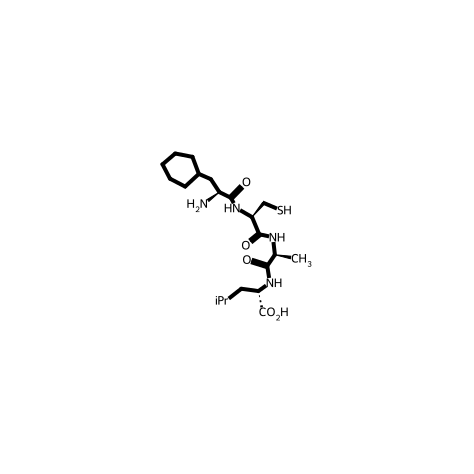 CC(C)C[C@H](NC(=O)[C@H](C)NC(=O)[C@H](CS)NC(=O)[C@@H](N)CC1CCCCC1)C(=O)O